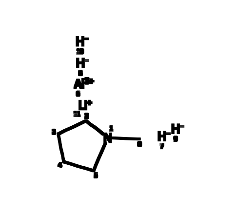 CN1CCCC1.[Al+3].[H-].[H-].[H-].[H-].[Li+]